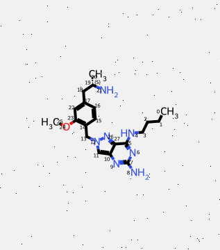 CCCCNc1nc(N)nc2cn(Cc3ccc(C[C@H](C)N)cc3OC)nc12